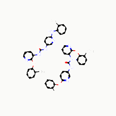 CC(C)(C)c1ccccc1Nc1ccc(NC(=O)Nc2cccnc2Oc2ccccc2C(C)(C)C)cn1.CC(C)(C)c1ccccc1Oc1ncccc1NC(=O)Nc1ccc(Oc2ccccc2C(F)(F)F)nc1